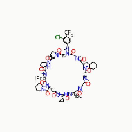 CC[C@H](C)[C@@H]1NC(=O)[C@H](C2CC2)N(C)C(=O)C[C@@H](C(=O)N2CCCCC2)N(C)C(=O)[C@H](C(C)C)N(C)C(=O)C2(CCCC2)NC(=O)[C@@H]2CCCN2C(=O)[C@H](CCc2ccc(C(F)(F)F)c(Cl)c2)NC(=O)CN(C)C(=O)[C@H](CC2CCCCC2)N(C)C(=O)CN(C)C(=O)CN(C)C1=O